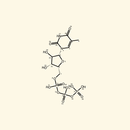 Cc1cn([C@@H]2O[C@H](COP(=O)(O)OP(=O)(O)OP(=O)(O)O)[C@H](O)C2O)c(=O)[nH]c1=O